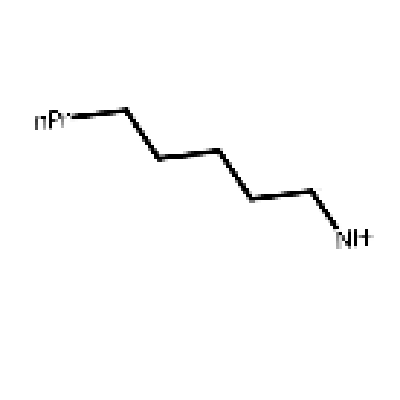 CCCCCCC[CH][NH]